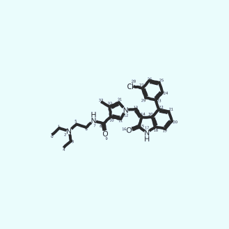 CCN(CC)CCNC(=O)c1cn(C=C2C(=O)Nc3cccc(-c4cccc(Cl)c4)c32)cc1C